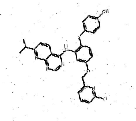 CC(C)c1ccc2c(Nc3cc(OCc4cccc(Cl)n4)ccc3Sc3ccc(O)cc3)ncnc2n1